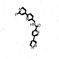 O=C(NCc1ccc(-c2ccnc(F)c2)nc1)c1ccc(-c2ccnnc2)cn1